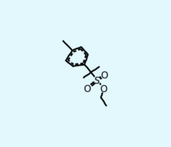 CCOS(=O)(=O)C(C)(C)c1ccc(C)cc1